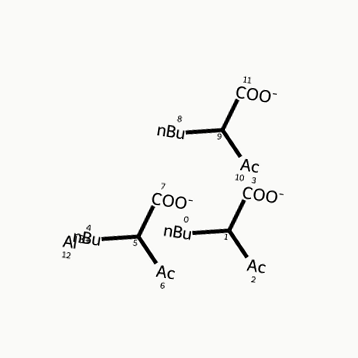 CCCCC(C(C)=O)C(=O)[O-].CCCCC(C(C)=O)C(=O)[O-].CCCCC(C(C)=O)C(=O)[O-].[Al+3]